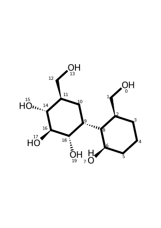 OC[C@H]1CCC[C@@H](O)C1[C@H]1C[C@H](CO)[C@@H](O)[C@H](O)[C@H]1O